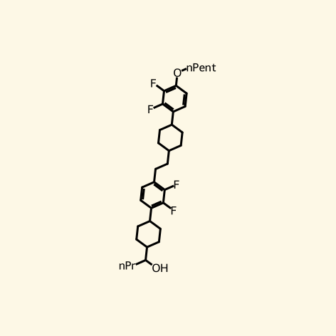 CCCCCOc1ccc(C2CCC(CCc3ccc(C4CCC(C(O)CCC)CC4)c(F)c3F)CC2)c(F)c1F